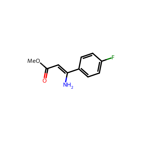 COC(=O)C=C(N)c1ccc(F)cc1